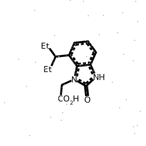 CCC(CC)c1cccc2[nH]c(=O)n(CC(=O)O)c12